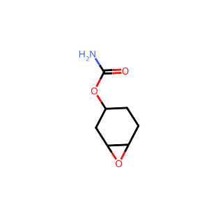 NC(=O)OC1CCC2OC2C1